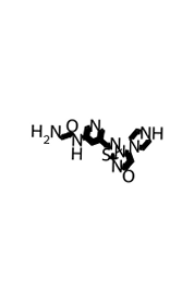 NCC(=O)Nc1cncc(-c2nn3c(N4CCNCC4)cc(=O)nc3s2)c1